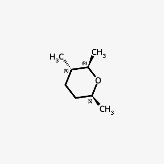 C[C@H]1CC[C@H](C)[C@@H](C)O1